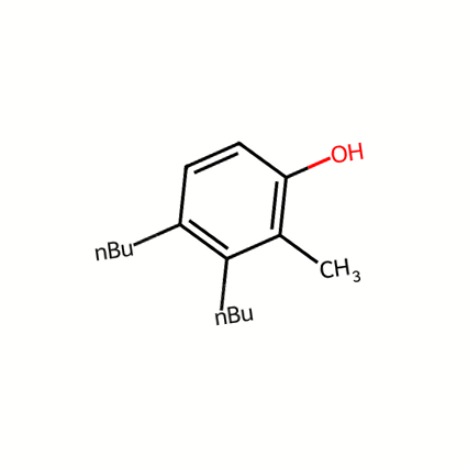 CCCCc1ccc(O)c(C)c1CCCC